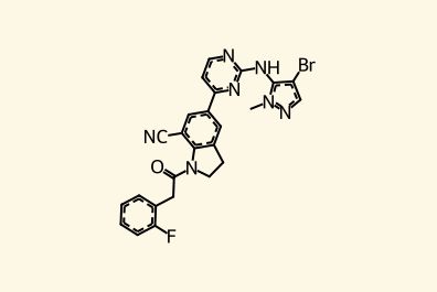 Cn1ncc(Br)c1Nc1nccc(-c2cc(C#N)c3c(c2)CCN3C(=O)Cc2ccccc2F)n1